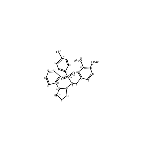 COc1ccc(CN(C2CCNN2c2ccccc2)S(=O)(=O)c2ccc(Cl)cc2)cc1OC